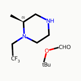 CC(C)(C)OC=O.C[C@H]1CNCCN1CC(F)(F)F